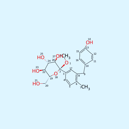 CO[C@@]1(c2ccc(C)c(Cc3ccc(O)cc3)c2)O[C@H](CO)[C@@H](O)[C@H](O)[C@H]1O